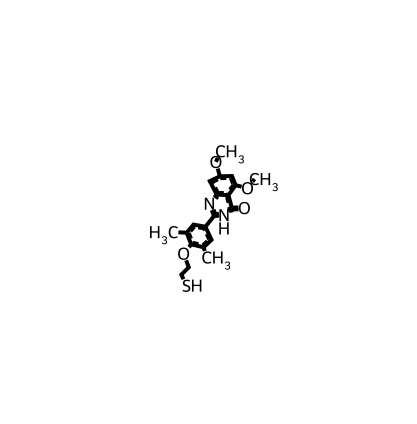 COc1cc(OC)c2c(=O)[nH]c(-c3cc(C)c(OCCS)c(C)c3)nc2c1